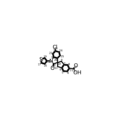 O=C(O)c1ccc2c(c1)CC1(C2)C(=O)N(c2ccsc2)c2cc(Cl)ccc21